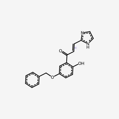 O=C(/C=C/c1ncc[nH]1)c1cc(OCc2ccccc2)ccc1O